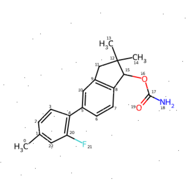 Cc1ccc(-c2ccc3c(c2)CC(C)(C)C3OC(N)=O)c(F)c1